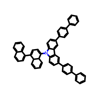 C1=CC2C(c3cccc4ccccc34)=CC=C(n3c4ccc(-c5ccc(-c6ccccc6)cc5)cc4c4cc(-c5ccc(-c6ccccc6)cc5)ccc43)C2C=C1